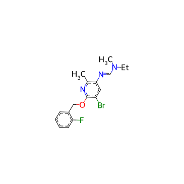 CCN(C)/C=N/c1cc(Br)c(OCc2ccccc2F)nc1C